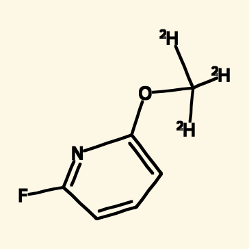 [2H]C([2H])([2H])Oc1cccc(F)n1